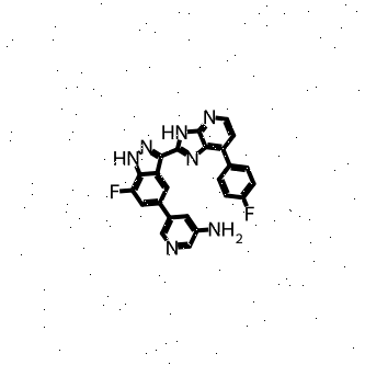 Nc1cncc(-c2cc(F)c3[nH]nc(-c4nc5c(-c6ccc(F)cc6)ccnc5[nH]4)c3c2)c1